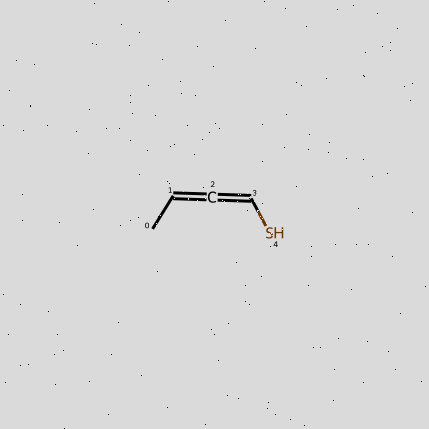 CC=C=CS